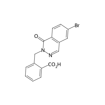 O=C(O)c1ccccc1Cn1ncc2cc(Br)ccc2c1=O